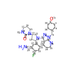 COc1ccc(Cn2nc(N3CC[C@@H](N4CCCN(C)C4=O)C3)c3c(-c4ccc(CN)c(F)c4)ccnc32)cc1